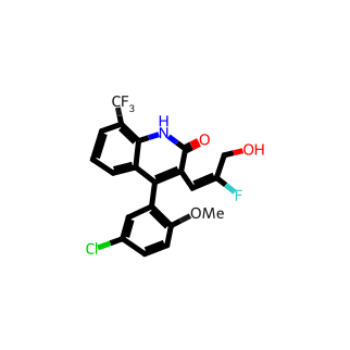 COc1ccc(Cl)cc1-c1c(/C=C(/F)CO)c(=O)[nH]c2c(C(F)(F)F)cccc12